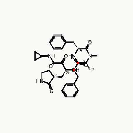 CCC[C@@H](C(=O)N[C@@H](C[C@@H]1CCNC1=O)C(=O)C(=O)NC1CC1)N(C)C(=O)[C@@H](Cc1ccccc1)NC(=O)OCc1ccccc1